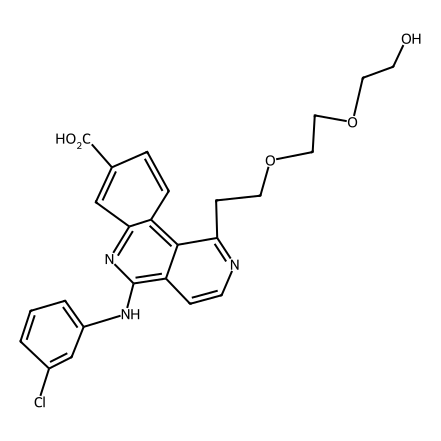 O=C(O)c1ccc2c(c1)nc(Nc1cccc(Cl)c1)c1ccnc(CCOCCOCCO)c12